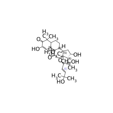 CC(C)(O)/C=C/C(=O)[C@](C)(O)[C@H]1C(O)C[C@@]2(C)[C@@H]3CCC4[C@@H](C=C(O)C(=O)C4(C)C)[C@]3(C)C(=O)C[C@]12C